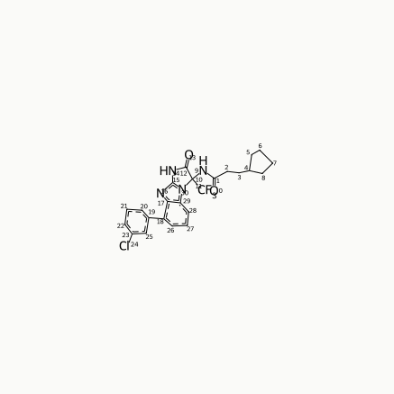 O=C(CCC1CCCC1)NC1(C(F)(F)F)C(=O)Nc2nc3c(-c4cccc(Cl)c4)cccc3n21